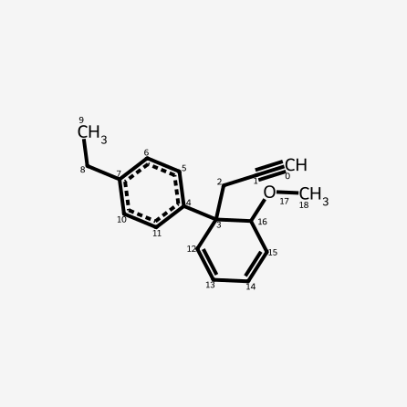 C#CCC1(c2ccc(CC)cc2)C=CC=CC1OC